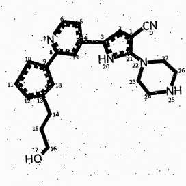 N#Cc1cc(-c2ccnc(-c3cccc(CCCO)c3)c2)[nH]c1N1CCNCC1